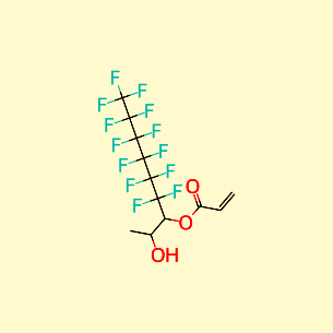 C=CC(=O)OC(C(C)O)C(F)(F)C(F)(F)C(F)(F)C(F)(F)C(F)(F)C(F)(F)F